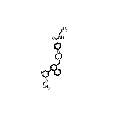 CCCNC(=O)c1ccc(N2CCN(Cc3ccc(-c4cncc(OCC)c4)c4ccccc34)CC2)cc1